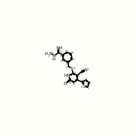 N#Cc1c(-c2cccs2)cc(=O)[nH]c1SCc1cccc(C(=N)NN)c1